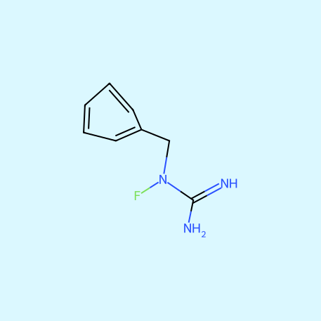 N=C(N)N(F)Cc1ccccc1